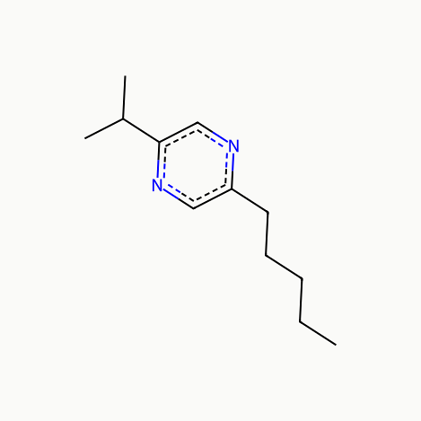 CCCCCc1cnc(C(C)C)cn1